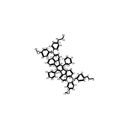 CCCc1ccc(N(c2ccc(OC)cc2)c2ccc3c4c(-c5ccccc5)c5c6ccc(N(c7ccc(CCC)cc7)c7ccc(OC)cc7)c7cccc(c5c(-c5ccccc5)c4c4cccc2c43)c76)cc1